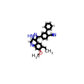 CCc1cc2c(cc1OC)ncc1[nH]nc(-c3ccc(C#N)c(-c4ccccc4)c3)c12